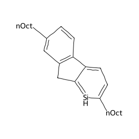 CCCCCCCCc1ccc2c(c1)Cc1[siH]c(CCCCCCCC)ccc1-2